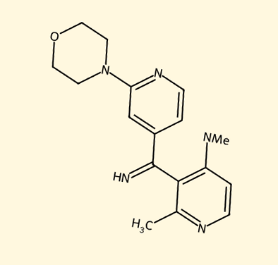 CNc1ccnc(C)c1C(=N)c1ccnc(N2CCOCC2)c1